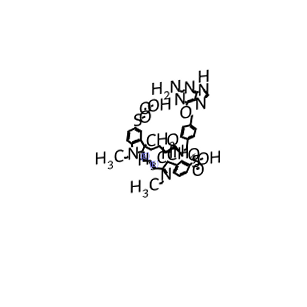 CCN1/C(=C/C=C/C2=[N+](CC)c3ccc(S(=O)(=O)O)cc3C2(C)C)C(C)(CCCC(=O)NCc2ccc(COc3nc(N)nc4[nH]cnc34)cc2)c2cc(SOOO)ccc21